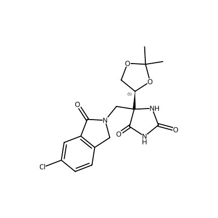 CC1(C)OC[C@H](C2(CN3Cc4ccc(Cl)cc4C3=O)NC(=O)NC2=O)O1